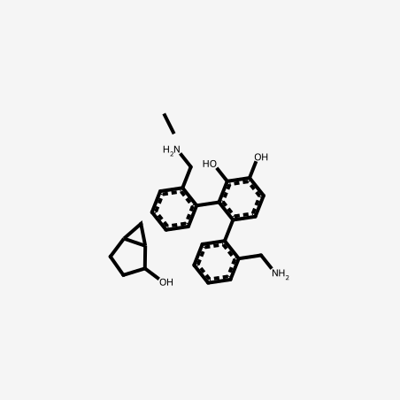 CC.NCc1ccccc1-c1ccc(O)c(O)c1-c1ccccc1CN.OC1CCC2CC12